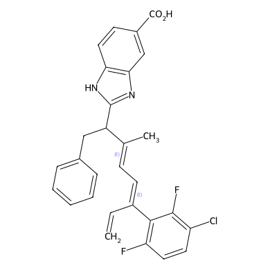 C=C/C(=C\C=C(/C)C(Cc1ccccc1)c1nc2cc(C(=O)O)ccc2[nH]1)c1c(F)ccc(Cl)c1F